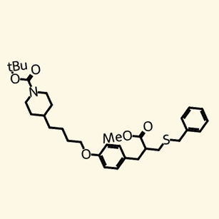 COC(=O)C(CSCc1ccccc1)Cc1ccc(OCCCCC2CCN(C(=O)OC(C)(C)C)CC2)cc1